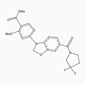 COC(=O)c1ccc(N2COc3cc(C(=O)N4CCC(F)(F)C4)ccc32)cc1OC